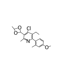 CCc1c(-c2ccc(OC)cc2C)nc(C)c(C2OC(C)O2)c1Cl